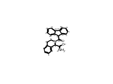 NC(=O)C1c2cc[c]cc2CCN1C(=O)C1c2ccccc2-c2ccccc21